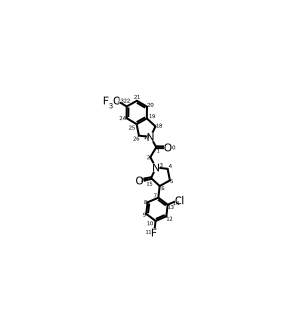 O=C(CN1CCC(c2ccc(F)cc2Cl)C1=O)N1Cc2ccc(C(F)(F)F)cc2C1